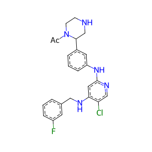 CC(=O)N1CCNCC1c1cccc(Nc2cc(NCc3cccc(F)c3)c(Cl)cn2)c1